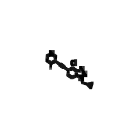 Cc1ccncc1C#Cc1ccc2c(nnn2CC2CC2)c1Cl